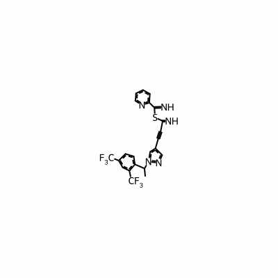 CC(c1ccc(C(F)(F)F)cc1C(F)(F)F)n1cc(C#CC(=N)SC(=N)c2ccccn2)cn1